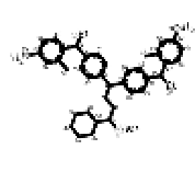 CCCCCCC(CCC(c1ccc(C(CC)c2ccc(N)cc2C)cc1)c1ccc(C(CC)c2ccc(N)cc2C)cc1)C1CCCCC1